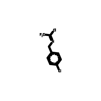 FC(F)(F)/C(Cl)=N\Cc1ccc(Cl)cc1